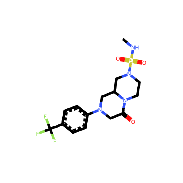 CNS(=O)(=O)N1CCN2C(=O)CN(c3ccc(C(F)(F)F)cc3)CC2C1